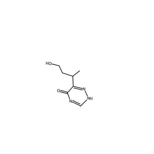 CC(CCO)c1n[nH][c]nc1=O